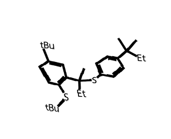 CCC(C)(C)c1ccc(SC(C)(CC)c2cc(C(C)(C)C)ccc2SC(C)(C)C)cc1